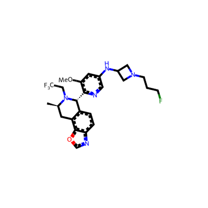 COc1cc(NC2CN(CCCF)C2)cnc1[C@@H]1c2ccc3ncoc3c2C[C@@H](C)N1CC(F)(F)F